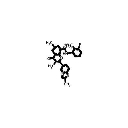 Cc1cc([C@@H](C)Nc2cccc(F)c2C(=O)O)c2oc(-c3ccc4nc(C)cn4c3)c(C)c(=O)c2c1